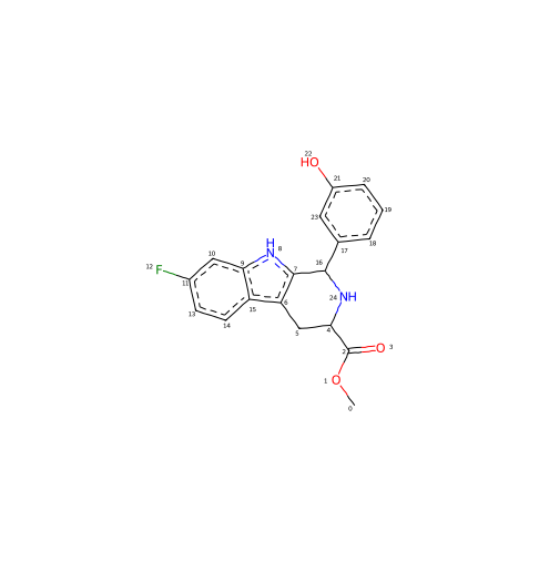 COC(=O)C1Cc2c([nH]c3cc(F)ccc23)C(c2cccc(O)c2)N1